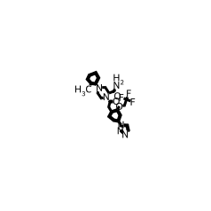 Cc1ccccc1N1CCN(C(=O)Cc2ccc(-n3ccnn3)cc2OCC(F)(F)F)C(C(N)=O)C1